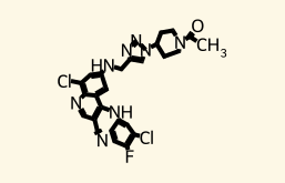 CC(=O)N1CCC(n2cc(CNc3cc(Cl)c4ncc(C#N)c(Nc5ccc(F)c(Cl)c5)c4c3)nn2)CC1